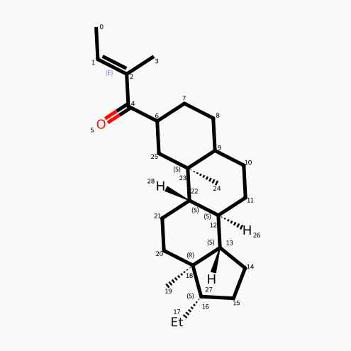 C/C=C(\C)C(=O)C1CCC2CC[C@H]3[C@@H]4CC[C@H](CC)[C@@]4(C)CC[C@@H]3[C@@]2(C)C1